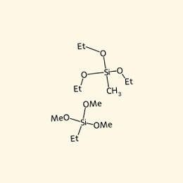 CCO[Si](C)(OCC)OCC.CC[Si](OC)(OC)OC